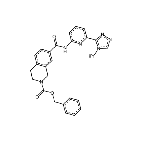 CC(C)n1cnnc1-c1cccc(NC(=O)c2ccc3c(c2)CN(C(=O)OCc2ccccc2)CC3)n1